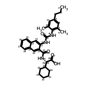 CCCc1cc(C)c(NC(=O)Nc2cc3ccccc3cc2C(=O)N[C@H](C(=O)O)C2CCCCC2)c(C)c1